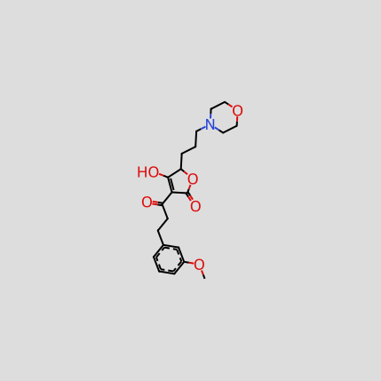 COc1cccc(CCC(=O)C2=C(O)C(CCCN3CCOCC3)OC2=O)c1